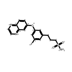 NS(=O)(=O)CCCc1cc(F)cc(Oc2ccc3nccnc3c2)c1